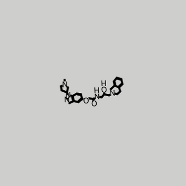 CN1CCC(n2ncc3cc(OCC(=O)NCC(O)CN4CCc5ccccc5C4)ccc32)C1